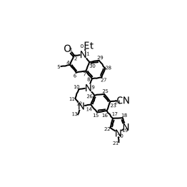 CCn1c(=O)c(C)cc2c(N3CCN(C)c4cc(-c5cnn(C)c5)c(C#N)cc43)cccc21